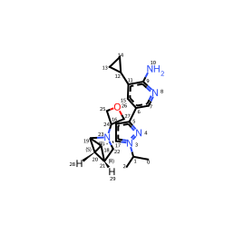 CC(C)n1nc(-c2cnc(N)c(C3CC3)c2)cc1[C@@]12C3[C@H]1[C@H]2CN3C1COC1